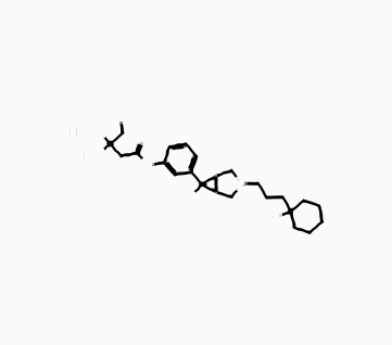 CCC1(c2cccc(OC(=O)CC(O)(CC(=O)O)C(=O)O)c2)C2CN(CCCC3(O)CCCCC3)CC21